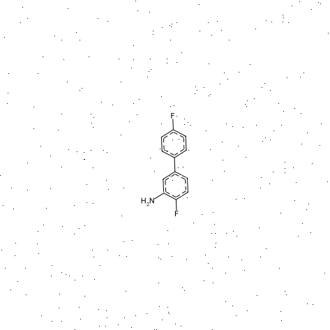 Nc1cc(-c2ccc(F)cc2)ccc1F